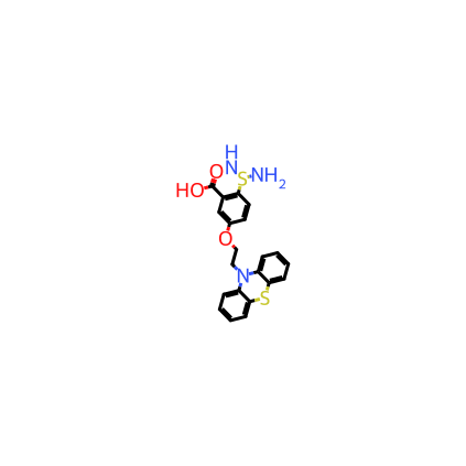 N=S(N)c1ccc(OCCN2c3ccccc3Sc3ccccc32)cc1C(=O)O